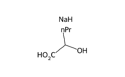 CCCC(O)C(=O)O.[NaH]